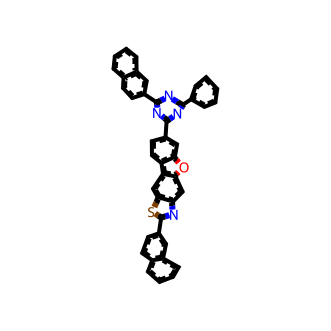 c1ccc(-c2nc(-c3ccc4ccccc4c3)nc(-c3ccc4c(c3)oc3cc5nc(-c6ccc7ccccc7c6)sc5cc34)n2)cc1